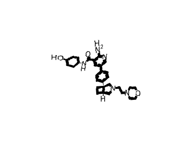 Nc1ncc(-c2ccc([C@@]34CC[C@@H]3CN(CCN3CCOCC3)C4)cc2)cc1C(=O)N[C@H]1CC[C@H](O)CC1